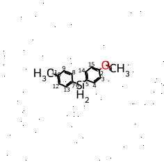 COc1ccc([SiH2]c2ccc(C)cc2)cc1